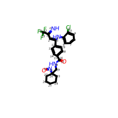 N=C(/C=C(\Nc1ccccc1Cl)c1ccc(C(=O)NCC2(N=O)CCCCC2)cc1)C(F)(F)F